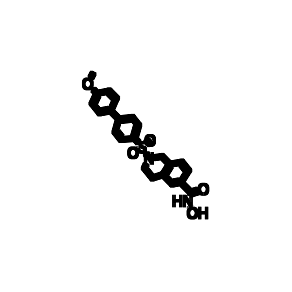 COc1ccc(-c2ccc(S(=O)(=O)N3CCc4cc(C(=O)NO)ccc4C3)cc2)cc1